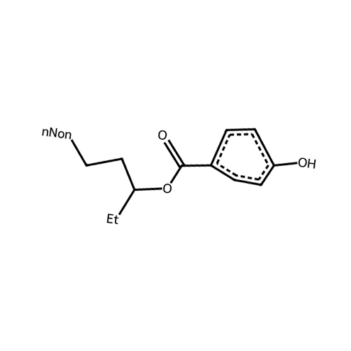 CCCCCCCCCCCC(CC)OC(=O)c1ccc(O)cc1